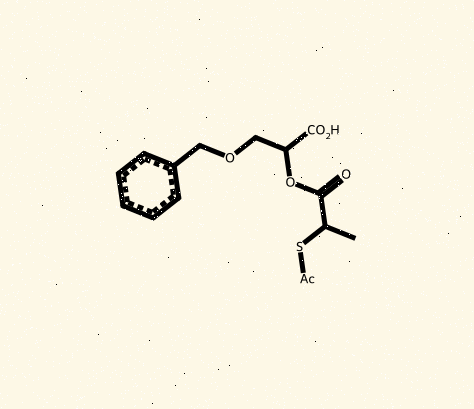 CC(=O)SC(C)C(=O)OC(COCc1ccccc1)C(=O)O